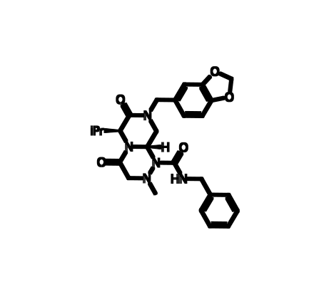 CC(C)[C@H]1C(=O)N(Cc2ccc3c(c2)OCO3)C[C@H]2N1C(=O)CN(C)N2C(=O)NCc1ccccc1